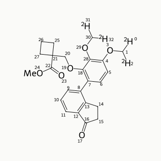 [2H]C([2H])Oc1ccc(-c2cccc3c2CCC3=O)c(OCC2(C(=O)OC)CCC2)c1OC([2H])[2H]